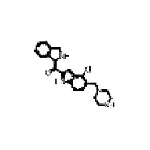 O=C(c1cc2c(Cl)c(CN3CCNCC3)ccc2[nH]1)C1NCc2ccccc21